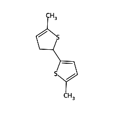 CC1=CCC(c2ccc(C)s2)S1